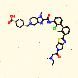 CCN(C)CC(=O)N1Cc2nc(-c3cccc(-c4cccc(NC(=O)c5nc6c(n5C)CCN(C[C@H]5CC[C@@H](C(=O)O)CC5)C6)c4Cl)c3C)sc2C1